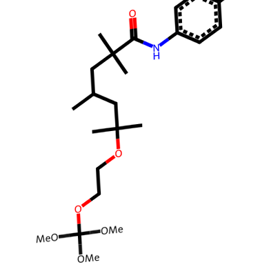 COC(OC)(OC)OCCOC(C)(C)CC(C)CC(C)(C)C(=O)Nc1ccc(C(C)C)cc1